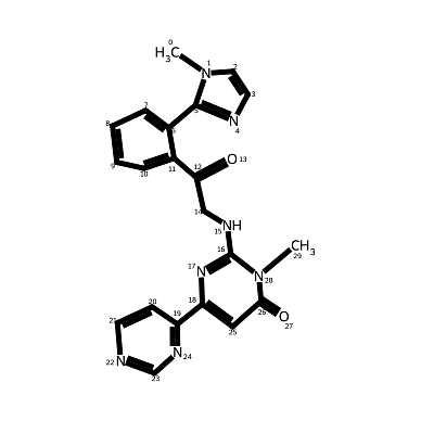 Cn1ccnc1-c1ccccc1C(=O)CNc1nc(-c2ccncn2)cc(=O)n1C